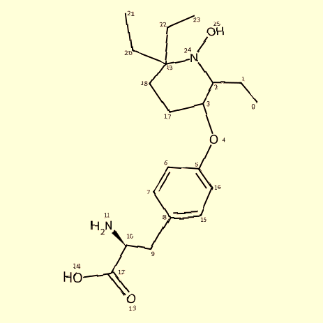 CCC1C(Oc2ccc(C[C@H](N)C(=O)O)cc2)CCC(CC)(CC)N1O